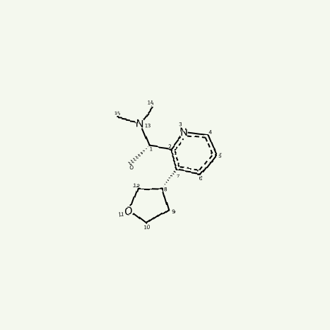 C[C@@H](c1ncccc1[C@@H]1CCOC1)N(C)C